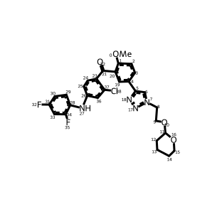 COc1ccc(-c2cn(CCOC3CCCCO3)nn2)cc1C(=O)c1ccc(Nc2ccc(F)cc2F)cc1Cl